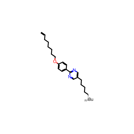 C=CCCCCCCOc1ccc(-c2ncc(CCCCC[C@@H](C)CC)cn2)cc1